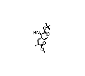 CC[C@@H](C=C(C)C(=O)OC)C(=N)C(=O)OC(C)(C)C